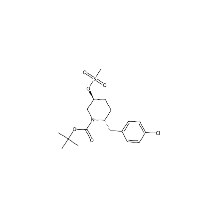 CC(C)(C)OC(=O)N1C[C@@H](OS(C)(=O)=O)CC[C@@H]1Cc1ccc(Cl)cc1